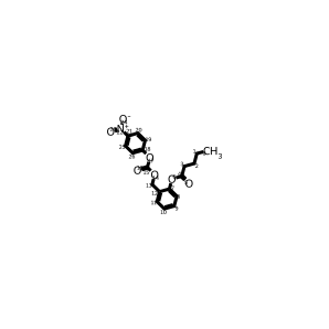 CCCCC(=O)Oc1ccccc1COC(=O)Oc1ccc([N+](=O)[O-])cc1